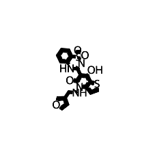 O=c1c(C2=NS(=O)(=O)c3ccccc3N2)c(O)c2sccc2n1NCc1ccoc1